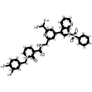 O=C(NCc1cc(-c2cn(S(=O)(=O)c3ccccc3)c3ncccc23)cc(C(F)F)n1)c1cccn(Cc2ccc(F)c(F)c2)c1=O